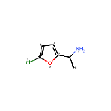 C[C@H](N)c1ccc(Cl)o1